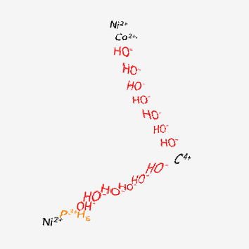 [C+4].[Co+2].[Ni+2].[Ni+2].[OH-].[OH-].[OH-].[OH-].[OH-].[OH-].[OH-].[OH-].[OH-].[OH-].[OH-].[OH-].[OH-].[PH6+3]